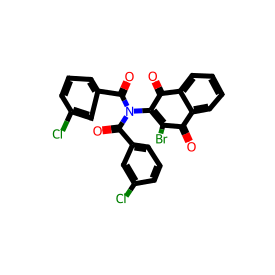 O=C1C(Br)=C(N(C(=O)c2cccc(Cl)c2)C(=O)c2cccc(Cl)c2)C(=O)c2ccccc21